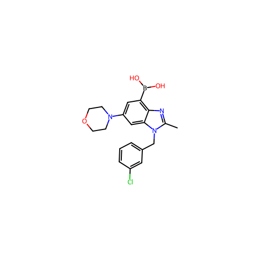 Cc1nc2c(B(O)O)cc(N3CCOCC3)cc2n1Cc1cccc(Cl)c1